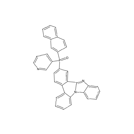 O=P(c1cccnc1)(c1ccc2ccccc2c1)c1ccc2c3ccccc3n3c4ccccc4nc3c2c1